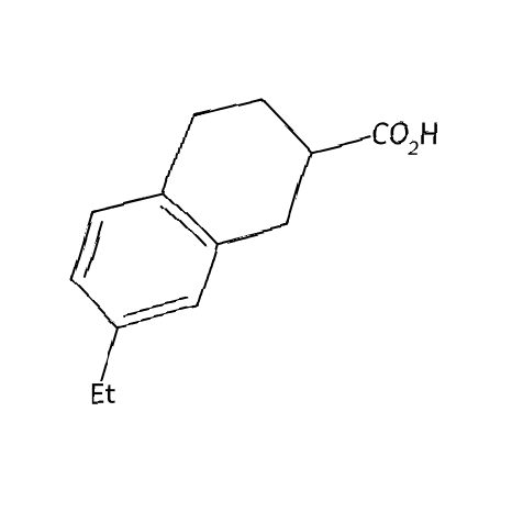 CCc1ccc2c(c1)CC(C(=O)O)CC2